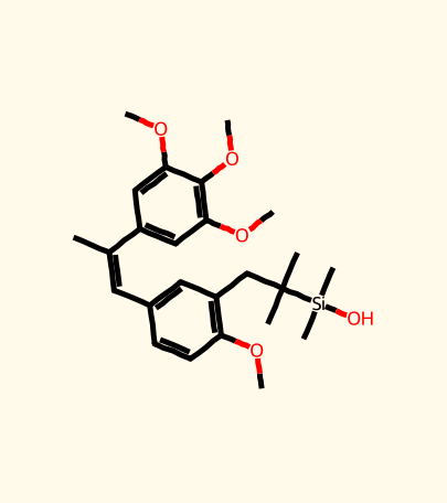 COc1ccc(/C=C(/C)c2cc(OC)c(OC)c(OC)c2)cc1CC(C)(C)[Si](C)(C)O